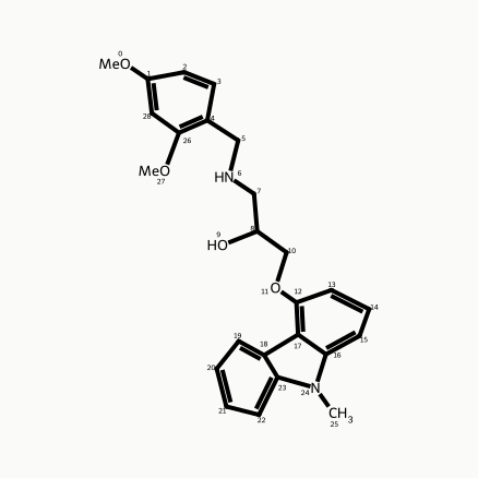 COc1ccc(CNCC(O)COc2cccc3c2c2ccccc2n3C)c(OC)c1